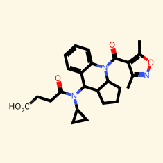 Cc1noc(C)c1C(=O)N1c2ccccc2C(N(C(=O)CCC(=O)O)C2CC2)C2CCCC21